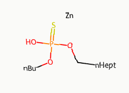 CCCCCCCCOP(O)(=S)OCCCC.[Zn]